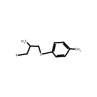 Cc1ccc(SCC(C)CF)cc1